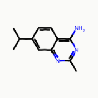 Cc1nc(N)c2ccc(C(C)C)cc2n1